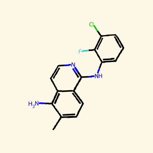 Cc1ccc2c(Nc3cccc(Cl)c3F)nccc2c1N